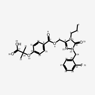 CCCn1c(COC(=O)c2ccc(OC(C)(C)C(=O)O)cc2)nn(Cc2ccccc2F)c1=O